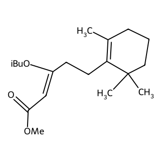 COC(=O)C=C(CCC1=C(C)CCCC1(C)C)OCC(C)C